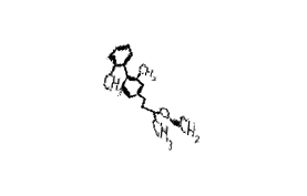 C=COC(C)CCc1ccc(-c2ccccc2C)c(C)c1